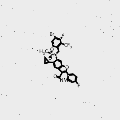 CNC(=O)c1c(-c2ccc(F)cc2)oc2cc(N(Cc3ccc(Br)c(F)c3C(F)(F)F)S(C)(=O)=O)c(C3CC3)cc12